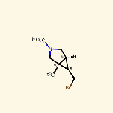 CC(C)(C)[C@@]12CN(C(=O)O)C[C@H]1[C@H]2CBr